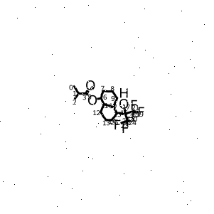 CC(C)C(=O)OC1CCCC2C1CCCC2C(O)(C(F)(F)F)C(F)(F)F